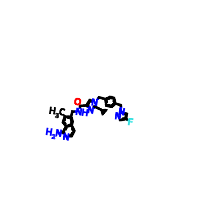 Cc1cc2c(N)nccc2cc1CNC(=O)c1cn(Cc2ccc(Cn3cc(F)cn3)cc2)c(C2CC2)n1